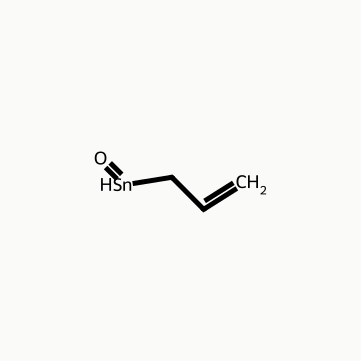 C=C[CH2][SnH]=[O]